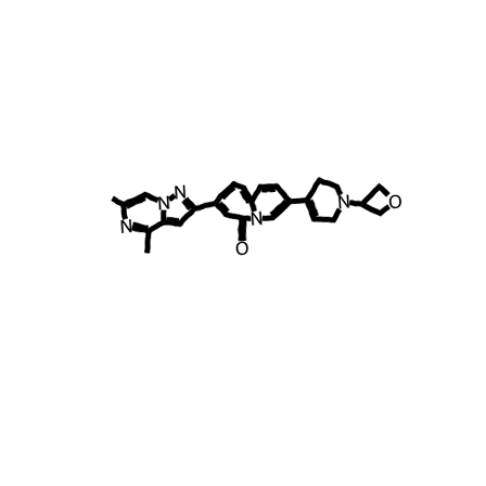 Cc1cn2nc(C3=C\C(=O)N4C=C(C5=CCN(C6COC6)CC5)C=C\C4=C/C=C/3)cc2c(C)n1